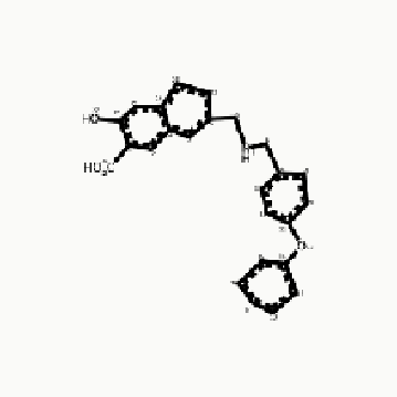 O=C(O)c1cc2cc(CNCc3ccc(Oc4ccccc4)cc3)ccc2cc1O